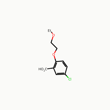 CCOCCOc1ccc(Cl)cc1C(=O)O